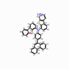 C1=Cc2c(sc3c(N(c4ccc(-c5cc6ccccc6c6ccccc56)cc4)c4cccc5c4oc4ccccc45)cccc23)CN1